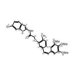 CCc1ccc2nc(NC(=O)COc3cc(/C=C\c4cc(OC)c(OC)c(OC)c4)ccc3C)sc2c1